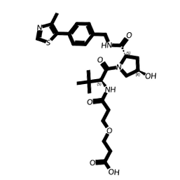 Cc1ncsc1-c1ccc(CNC(=O)[C@@H]2C[C@@H](O)CN2C(=O)[C@@H](NC(=O)CCOCCC(=O)O)C(C)(C)C)cc1